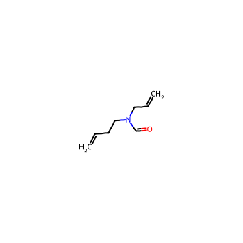 C=CCCN([C]=O)CC=C